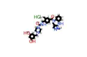 Cc1cc(C(=O)N2Cc3cnn(C)c3Nc3ccccc32)ccc1CNC(=O)N1CCN(Cc2cc(O)cc(O)c2)CC1.Cl